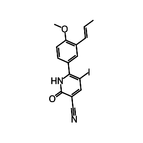 C/C=C/c1cc(-c2[nH]c(=O)c(C#N)cc2I)ccc1OC